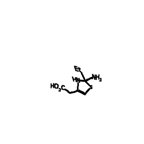 CCC1(N)NC(CC(=O)O)=CS1